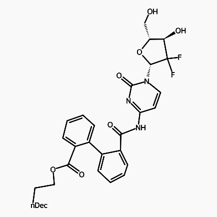 CCCCCCCCCCCCOC(=O)c1ccccc1-c1ccccc1C(=O)Nc1ccn([C@@H]2O[C@H](CO)[C@@H](O)C2(F)F)c(=O)n1